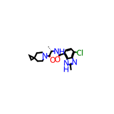 Cc1nc2c(Cl)ccc(C(=O)N[C@@H](C)C(=O)N3CCC4(CC3)CC4)c2[nH]1